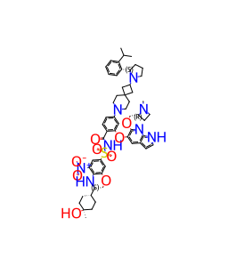 CC(C)c1ccccc1[C@@H]1CCCN1C1CC2(CCN(c3ccc(C(=O)NS(=O)(=O)c4cc5c(c([N+](=O)[O-])c4)N[C@@H]([C@H]4CC[C@](C)(O)CC4)CO5)c(Oc4cc5cc[nH]c5nc4OC[C@H]4CCN4C)c3)CC2)C1